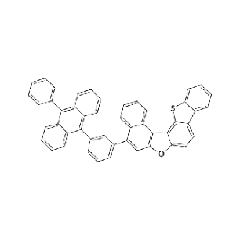 c1ccc(-c2c3ccccc3c(-c3cccc(-c4cc5oc6ccc7c8ccccc8sc7c6c5c5ccccc45)c3)c3ccccc23)cc1